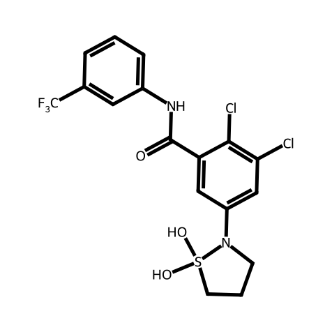 O=C(Nc1cccc(C(F)(F)F)c1)c1cc(N2CCCS2(O)O)cc(Cl)c1Cl